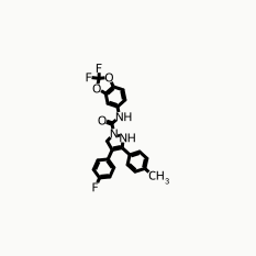 Cc1ccc(C2=C(c3ccc(F)cc3)CN(C(=O)Nc3ccc4c(c3)OC(F)(F)O4)N2)cc1